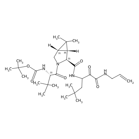 C=CCNC(=O)C(=O)C(CC(C)(C)C)NC(=O)[C@@H]1[C@@H]2[C@H](CN1C(=O)[C@@H](NC(=O)OC(C)(C)C)C(C)(C)C)C2(C)C